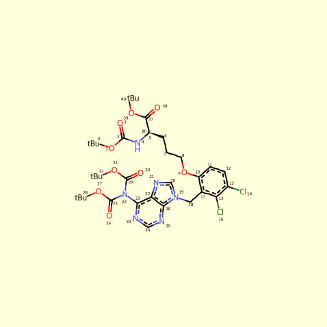 CC(C)(C)OC(=O)N[C@H](CCCOc1ccc(Cl)c(Cl)c1Cn1cnc2c(N(C(=O)OC(C)(C)C)C(=O)OC(C)(C)C)ncnc21)C(=O)OC(C)(C)C